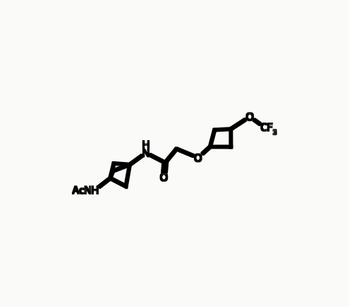 CC(=O)NC12CC(NC(=O)COC3CC(OC(F)(F)F)C3)(C1)C2